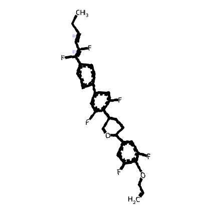 C=CCOc1c(F)cc(C2CCC(c3c(F)cc(-c4ccc(/C(F)=C(F)/C=C/CC)cc4)cc3F)CO2)cc1F